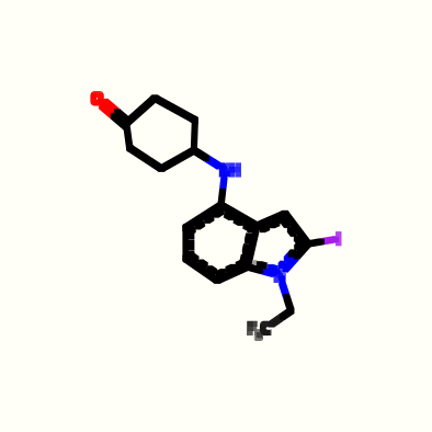 O=C1CCC(Nc2cccc3c2cc(I)n3CC(F)(F)F)CC1